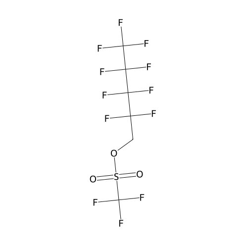 O=S(=O)(OCC(F)(F)C(F)(F)C(F)(F)C(F)(F)F)C(F)(F)F